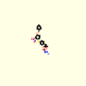 CC(C)(Cc1ccc(Sc2ccc(OCc3ccccc3)cc2[N+](=O)[O-])cc1)OC(N)=O